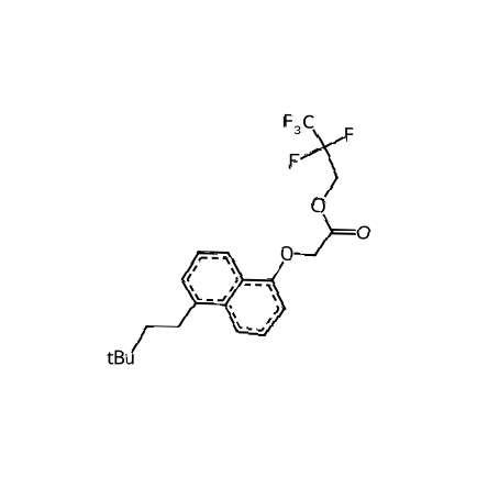 CC(C)(C)CCc1cccc2c(OCC(=O)OCC(F)(F)C(F)(F)F)cccc12